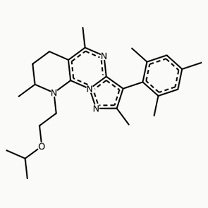 Cc1cc(C)c(-c2c(C)nn3c4c(c(C)nc23)CCC(C)N4CCOC(C)C)c(C)c1